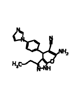 CCCc1n[nH]c2c1C(c1ccc(-n3ccnc3)cc1)C(C#N)=C(N)O2